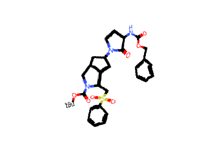 CC(C)(C)OC(=O)N1CC2CC(N3CCC(NC(=O)OCc4ccccc4)C3=O)CC2C1CS(=O)(=O)c1ccccc1